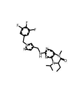 CCC1C(=O)N(C)c2cnc(NCc3cnn(Cc4cc(F)c(F)c(F)c4)c3)nc2N1C(C)C